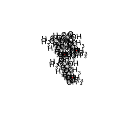 CC1(C)CC[C@]2(C(=O)O)CC[C@]3(C)C(=CC[C@@H]4[C@@]5(C)CC[C@H](O)C(C)(C)[C@@H]5CC[C@]43C)[C@@H]2C1.CC1(C)CC[C@]2(C(=O)O)CC[C@]3(C)C(=CC[C@@H]4[C@@]5(C)C[C@@H](O)[C@H](O)C(C)(C)[C@@H]5CC[C@]43C)[C@@H]2C1.CC1(C)CC[C@]2(CO)CC[C@]3(C)C(=CC[C@@H]4[C@@]5(C)CC[C@H](O)C(C)(C)[C@@H]5CC[C@]43C)[C@@H]2C1